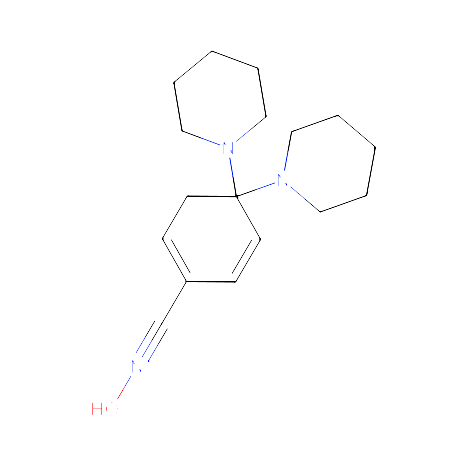 O[N+]#CC1=CCC(N2CCCCC2)(N2CCCCC2)C=C1